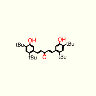 CC(C)(C)c1cc(C(C)(C)C)c(C=CC(=O)C=Cc2cc(O)c(C(C)(C)C)cc2C(C)(C)C)cc1O